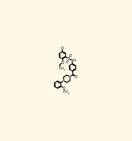 CCOc1ccc(Cl)cc1S(=O)(=O)Nc1ccc(C(=O)N2CCN(c3ccccc3OC)CC2)cc1